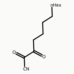 CCCCCCCCCCC(=O)C(=O)C#N